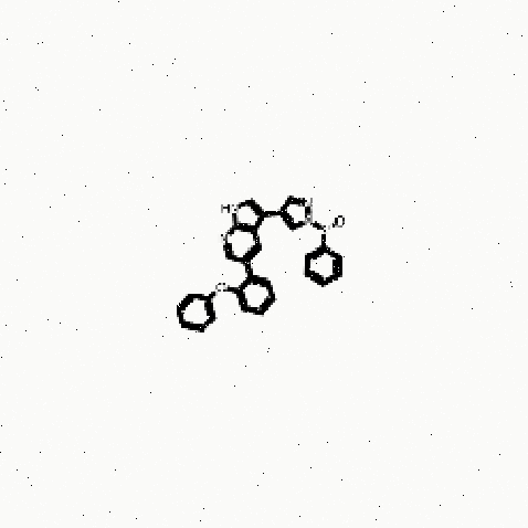 [O-][S+](c1ccccc1)n1cc(-c2c[nH]c3ncc(-c4ccccc4Oc4ccccc4)cc23)cn1